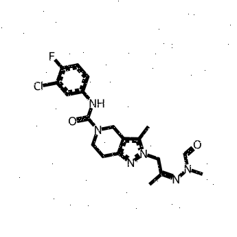 C/C(Cn1nc2c(c1C)CN(C(=O)Nc1ccc(F)c(Cl)c1)CC2)=N/N(C)C=O